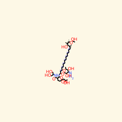 CC(O)CC1(O)CCC(C(=O)NC(CO)CO)[C@H](CC(/C=C/C=C/C=C/C=C/C=C/C=C/C=C/[C@H](C)C(O)[C@@H](C)[C@H](C)OC(C)O)OC2OC(C)C(O)C(N)C2O)O1